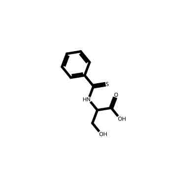 O=C(O)C(CO)NC(=S)c1ccccc1